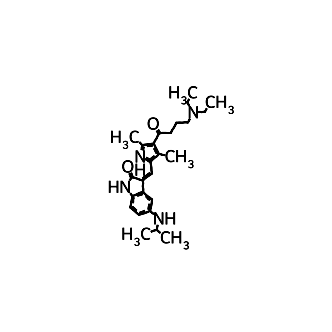 CCN(CC)CCCC(=O)c1c(C)[nH]c(/C=C2\C(=O)Nc3ccc(NC(C)C)cc32)c1C